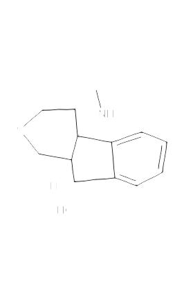 CN[C@@]12CCSC[C@@H]1Cc1ccccc12.Cl